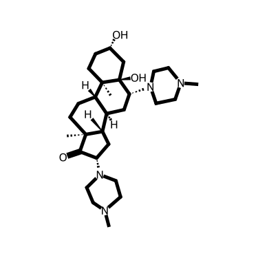 CN1CCN([C@H]2C[C@H]3[C@@H]4C[C@@H](N5CCN(C)CC5)[C@@]5(O)C[C@@H](O)CC[C@]5(C)[C@H]4CC[C@]3(C)C2=O)CC1